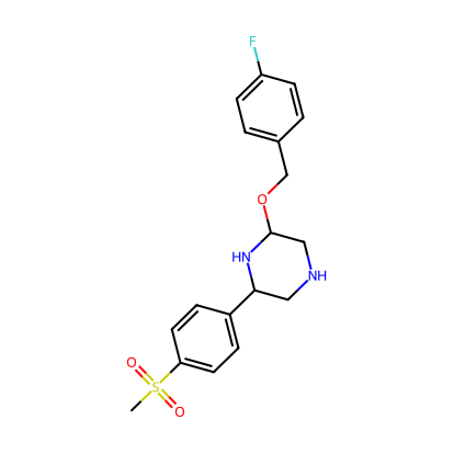 CS(=O)(=O)c1ccc(C2CNCC(OCc3ccc(F)cc3)N2)cc1